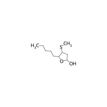 CCCCCC1OC(O)CC1SC